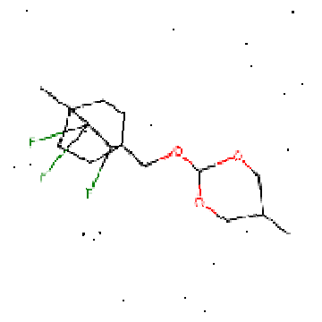 CC1COC(OCC23CCC(C)(CC2)C(F)(F)C3F)OC1